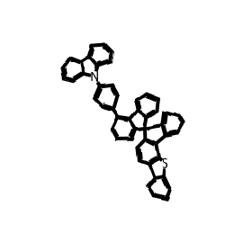 c1ccc2c(c1)-c1c(-c3ccc(-n4c5ccccc5c5ccccc54)cc3)cccc1C21c2ccccc2-c2c1ccc1c2sc2ccccc21